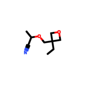 CCC1(COC(C)C#N)COC1